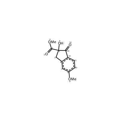 COC(=O)C1(O)Cc2cc(OC)ccc2C1=O